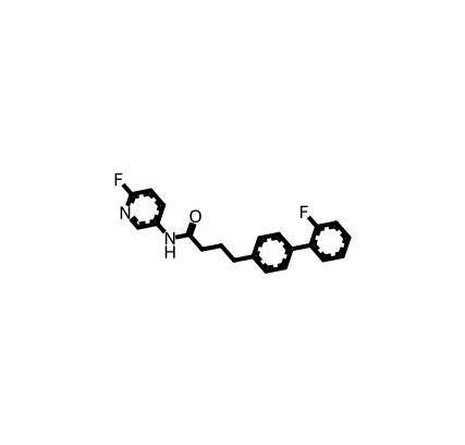 O=C(CCCc1ccc(-c2ccccc2F)cc1)Nc1ccc(F)nc1